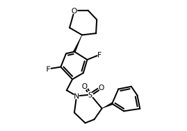 O=S1(=O)[C@@H](c2ccccc2)CCCN1Cc1cc(F)c([C@@H]2CCCOC2)cc1F